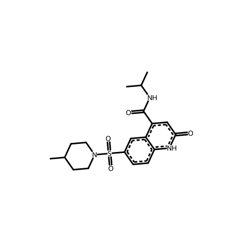 CC1CCN(S(=O)(=O)c2ccc3[nH]c(=O)cc(C(=O)NC(C)C)c3c2)CC1